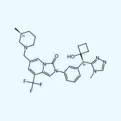 C[C@H]1CCCN(Cc2cc(C(F)(F)F)c3cn(-c4cccc([C@H](c5nncn5C)C5(O)CCC5)c4)c(=O)n3c2)C1